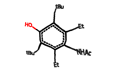 CCc1c(NC(C)=O)c(CC)c(C(C)(C)C)c(O)c1C(C)(C)C